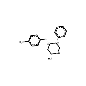 Cl.Nc1ccc(O[C@H]2CCNC[C@H]2c2ccccc2)cc1